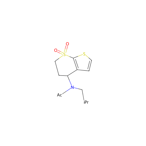 CC(=O)N(CC(C)C)C1CCS(=O)(=O)c2sccc21